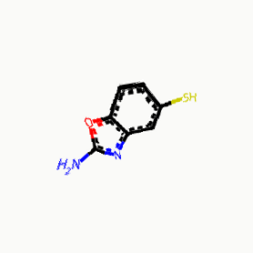 Nc1nc2cc(S)ccc2o1